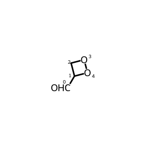 O=CC1COO1